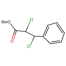 COC(=O)C(Cl)C(Cl)c1ccccc1